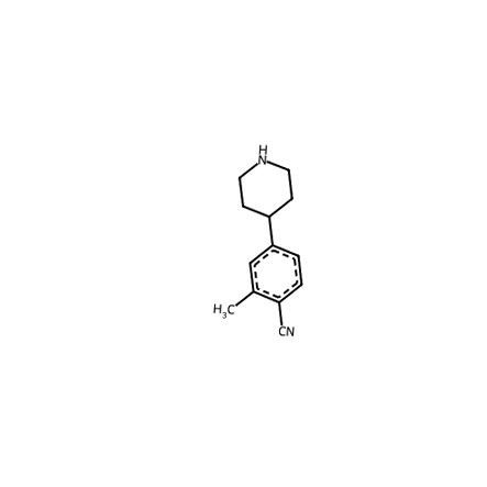 Cc1cc(C2CCNCC2)ccc1C#N